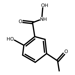 CC(=O)c1ccc(O)c(C(=O)NO)c1